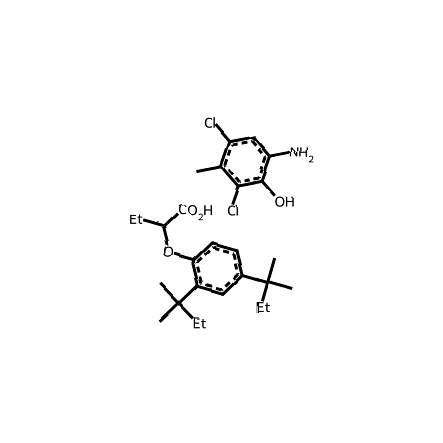 CCC(Oc1ccc(C(C)(C)CC)cc1C(C)(C)CC)C(=O)O.Cc1c(Cl)cc(N)c(O)c1Cl